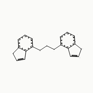 C1=Cc2c(cccc2CCCc2cccc3c2C=CC3)C1